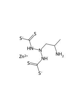 CC(N)CN(NC(=S)[S-])NC(=S)[S-].[Zn+2]